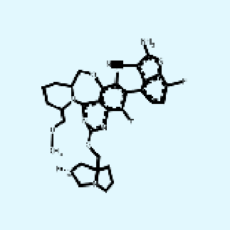 COCC1CCCC2COc3c(Cl)c(-c4ccc(F)c5sc(N)c(C#N)c45)c(F)c4nc(OCC56CCCN5C[C@H](F)C6)nc(c34)N12